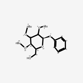 CCCCOC1C(OCCCC)[C@@H](Sc2ccccc2)OC(CO)[C@H]1OCCCC